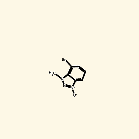 Cn1n[n+]([O-])c2cccc(Br)c21